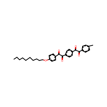 CCCCCCCCCCOc1ccc(C(=O)C(=O)c2ccc(C(=O)C(=O)c3ccc(C)cc3)cc2)cc1